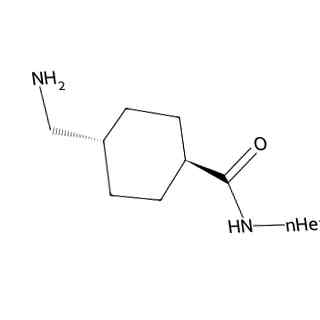 CCCCCCNC(=O)[C@H]1CC[C@H](CN)CC1